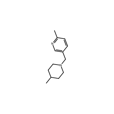 Cc1ccc(CN2CCC(C)CC2)cn1